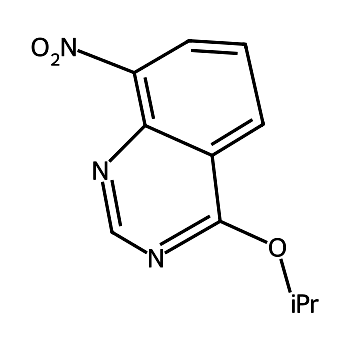 CC(C)Oc1ncnc2c([N+](=O)[O-])cccc12